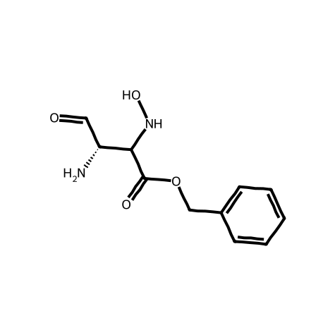 N[C@H](C=O)C(NO)C(=O)OCc1ccccc1